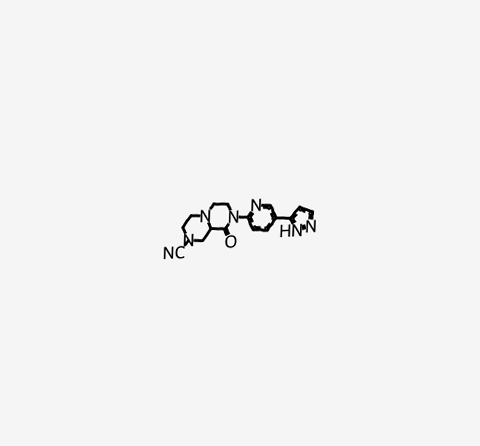 N#CN1CCN2CCN(c3ccc(-c4ccn[nH]4)cn3)C(=O)C2C1